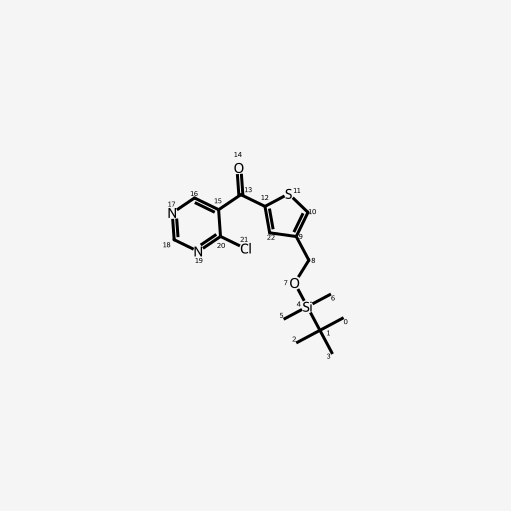 CC(C)(C)[Si](C)(C)OCc1csc(C(=O)c2cncnc2Cl)c1